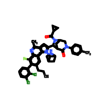 Cc1nc2c(F)c(-c3cccc(Cl)c3Cl)c(CCC#N)cc2c2c1cc(C1C3CC(CN(c4ccc(C(F)(F)F)cc4)C3=O)N1C(=O)C1CC1)n2C1C2CNC1C2